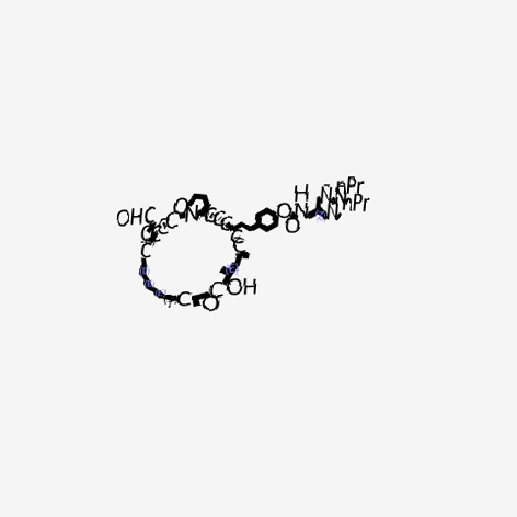 C=N/C=C(/CNC(=O)OC1CCC(CCC2CCC[C@]3(C)CCCCN3C(=O)CCC[C@](C)(OCC=O)CC/C=C/C=C/C=C/[C@@H](C)CC(C)C(=O)CC(O)/C(C)=C/C(C)CC2)CC1)CN(C)CN(CCC)CCC